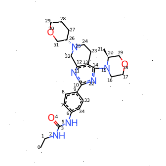 CCNC(=O)Nc1ccc(-c2nc3c(c(N4CCOC[C@@H]4C)n2)CCN([C@H]2CCCOC2)C3)cc1